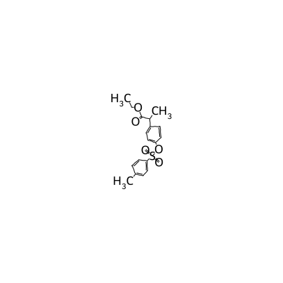 CCOC(=O)C(C)c1ccc(OS(=O)(=O)c2ccc(C)cc2)cc1